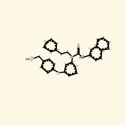 O=C(O)Cc1ccc(Sc2cccc(N(CCc3ccccc3)C(=O)Nc3ccc4ccccc4c3)c2)cc1